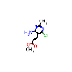 COC(=O)/C=C/c1c(N)nc(C)nc1Cl